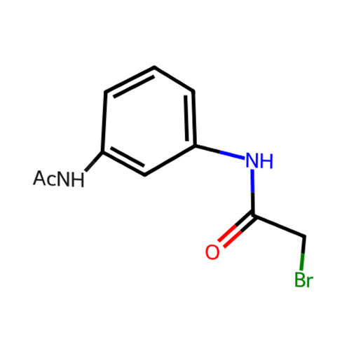 CC(=O)Nc1cccc(NC(=O)CBr)c1